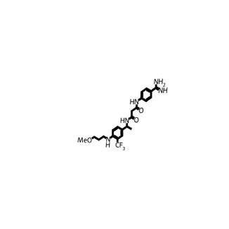 COCCCNc1ccc(C(C)NC(=O)CC(=O)Nc2ccc(C(=N)N)cc2)cc1C(F)(F)F